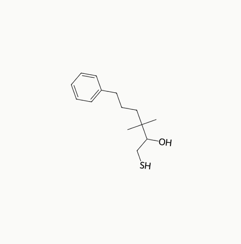 CC(C)(CCCc1ccccc1)C(O)CS